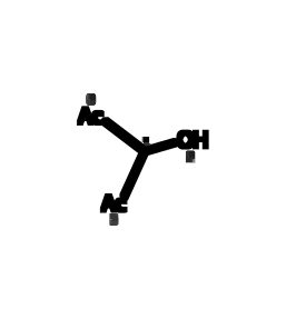 CC(=O)C(O)C(C)=O